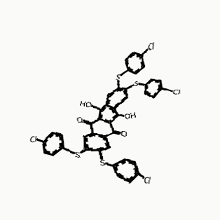 O=C1c2cc(Sc3ccc(Cl)cc3)c(Sc3ccc(Cl)cc3)cc2C(=O)c2c1c(O)c1cc(Sc3ccc(Cl)cc3)c(Sc3ccc(Cl)cc3)cc1c2O